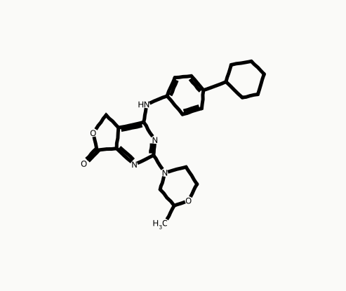 CC1CN(c2nc(Nc3ccc(C4CCCCC4)cc3)c3c(n2)C(=O)OC3)CCO1